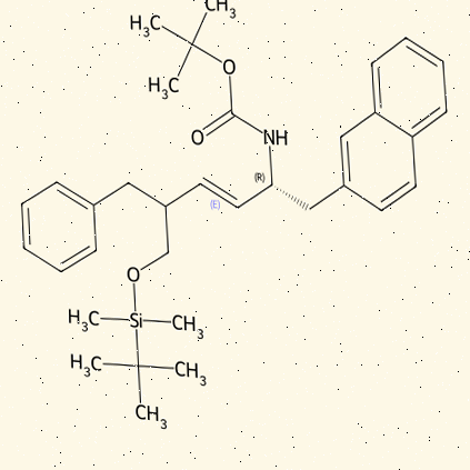 CC(C)(C)OC(=O)N[C@@H](/C=C/C(CO[Si](C)(C)C(C)(C)C)Cc1ccccc1)Cc1ccc2ccccc2c1